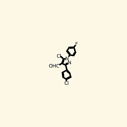 O=Cc1c(-c2ccc(Cl)cc2)nn(-c2ccc(F)cc2)c1Cl